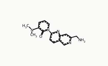 CN(C)c1cccn(-c2ccc3cnc(CN)cc3n2)c1=O